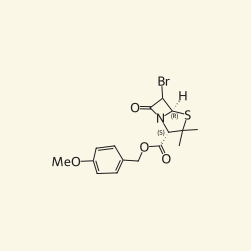 COc1ccc(COC(=O)[C@@H]2N3C(=O)C(Br)[C@H]3SC2(C)C)cc1